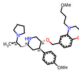 COCCCN1CCOc2ccc(CO[C@H]3CN[C@@H](C[C@@H](C)N4CCCC4)C[C@@H]3c3ccc(OC)cc3)cc21